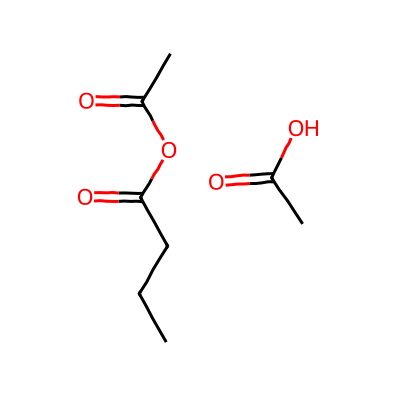 CC(=O)O.CCCC(=O)OC(C)=O